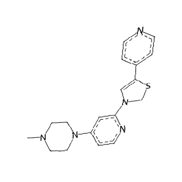 CN1CCN(c2ccnc(N3C=C(c4ccncc4)SC3)c2)CC1